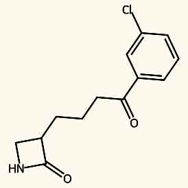 O=C(CCCC1CNC1=O)c1cccc(Cl)c1